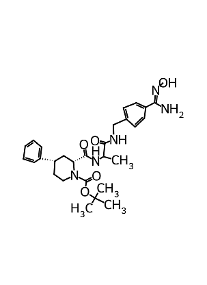 CC(NC(=O)[C@H]1C[C@@H](c2ccccc2)CCN1C(=O)OC(C)(C)C)C(=O)NCc1ccc(/C(N)=N/O)cc1